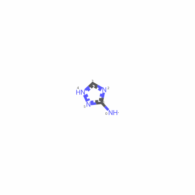 [NH]c1nc[nH]n1